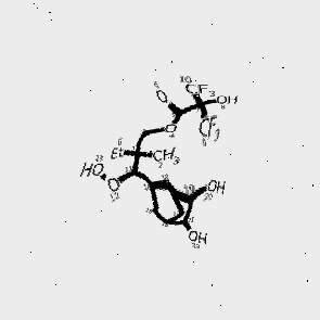 CCC(C)(COC(=O)C(O)(C(F)(F)F)C(F)(F)F)C(OO)C1CC2CC1C(O)C2O